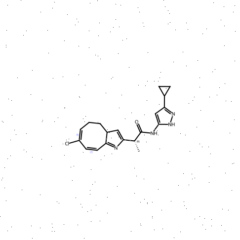 C[C@@H](C(=O)Nc1cc(C2CC2)n[nH]1)C1=CC2CC/C=C(Cl)\C=C/C2=N1